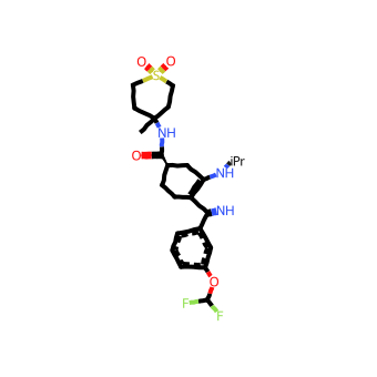 CC(C)NC1=C(C(=N)c2cccc(OC(F)F)c2)CC[C@@H](C(=O)NC2(C)CCS(=O)(=O)CC2)C1